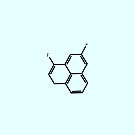 FC1=CCc2cccc3cc(F)cc1c23